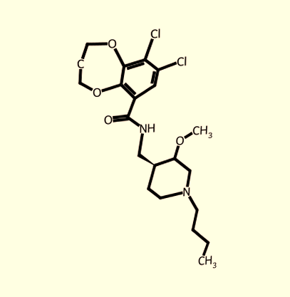 CCCCN1CC[C@@H](CNC(=O)c2cc(Cl)c(Cl)c3c2OCCCO3)C(OC)C1